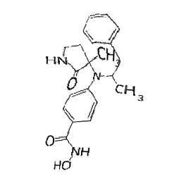 CC(Cc1ccccc1)N(c1ccc(C(=O)NO)cc1)C1(C)CCNC1=O